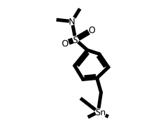 CN(C)S(=O)(=O)c1ccc([CH2][Sn]([CH3])([CH3])[CH3])cc1